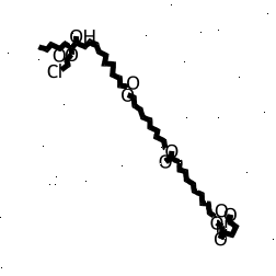 CCCCCC(OC(=O)CCl)C(O)C/C=C\CCCCCCCC(=O)OCCCCCCCCCCOC(=O)CCCCCCCCCCC(=O)ON1C(=O)CCC1=O